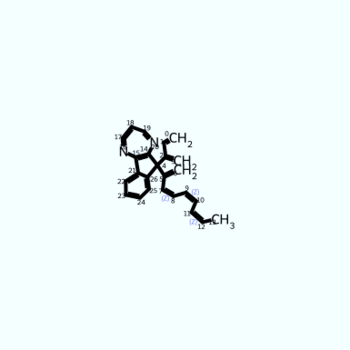 C=CC(=C)C1(C(=C)\C=C/C=C\C=C/C)C2=C(N=C=CC=N2)c2ccccc21